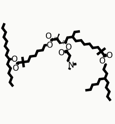 CCCCCCCCC(CCCCCC)OC(=O)C(C)(C)CCCCCCOC(=O)[C@@H](C)C[C@@H](CC(CC)CCCCCCC(C)(C)C(=O)OCCCC(CCCCC)CCCCC)OC(=O)CCN(C)C